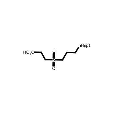 CCCCCCCCCCS(=O)(=O)CCC(=O)O